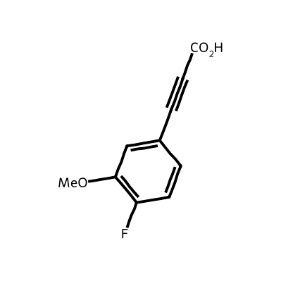 COc1cc(C#CC(=O)O)ccc1F